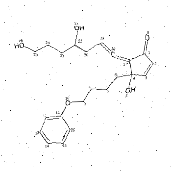 O=C1C=CC(O)(CCCCOc2ccccc2)C1=C=CCC(O)CCCO